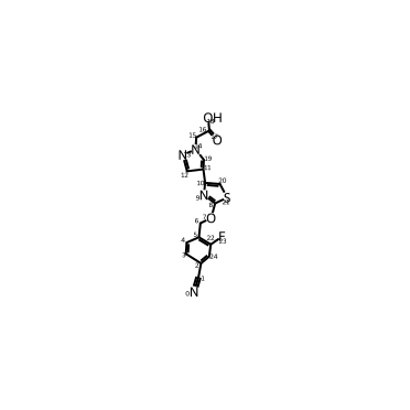 N#Cc1ccc(COc2nc(-c3cnn(CC(=O)O)c3)cs2)c(F)c1